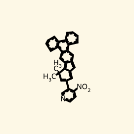 CC1(C)C=C(c2cnccc2[N+](=O)[O-])C=C2C=c3cc4c5ccccc5c5ccccc5c4cc3=C21